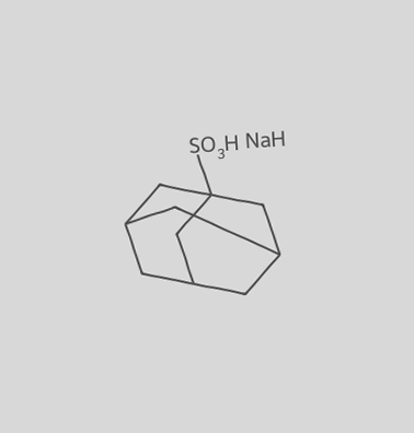 O=S(=O)(O)C12CC3CC(CC(C3)C1)C2.[NaH]